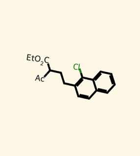 CCOC(=O)C(CCc1ccc2ccccc2c1Cl)C(C)=O